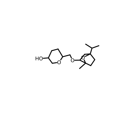 CC(C)C12CCC(C)(O1)C(OCC1CCC(O)CO1)C2